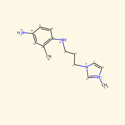 C[n+]1ccn(CCCNc2ccc(N)cc2C#N)c1